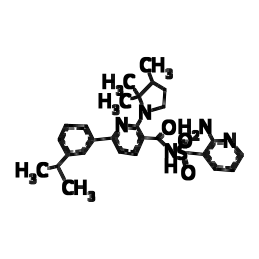 CC(C)c1cccc(-c2ccc(C(=O)NS(=O)(=O)c3cccnc3N)c(N3CCC(C)C3(C)C)n2)c1